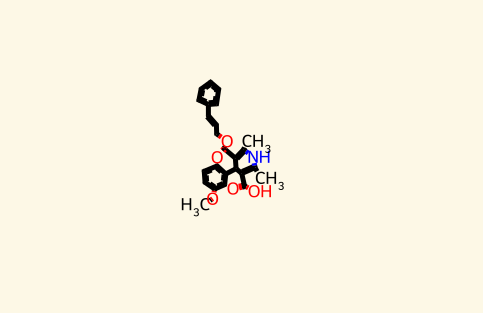 COc1cccc(C2C(C(=O)O)=C(C)NC(C)=C2C(=O)OCC=Cc2ccccc2)c1